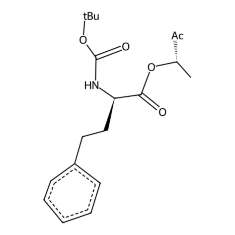 CC(=O)[C@H](C)OC(=O)[C@@H](CCc1ccccc1)NC(=O)OC(C)(C)C